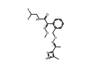 CO/N=C(/C(=O)NCC(F)F)c1ccccc1CO/N=C(\C)c1s[nH]c1C